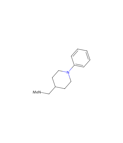 CNCC1CCN(c2ccccc2)CC1